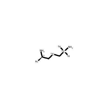 [2H][13C]([2H])(N)C[13CH2]C[C@H](N)C(C)=O